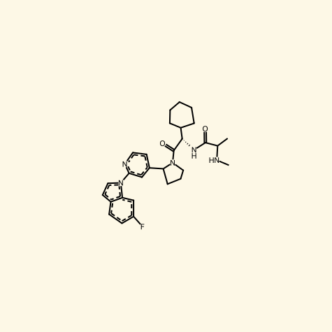 CNC(C)C(=O)N[C@H](C(=O)N1CCCC1c1ccnc(-n2ccc3ccc(F)cc32)c1)C1CCCCC1